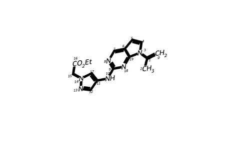 C=C(C)n1ccc2cnc(Nc3cnn(CC(=O)OCC)c3)nc21